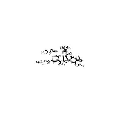 Cc1cn([C@@H]2O[C@H](C(O)N(CCCC(=O)O)CCCC(=O)O)CC2OP(N)(=O)O)c(=O)[nH]c1=O